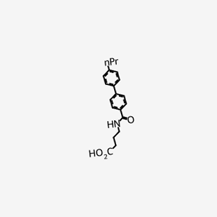 CCCc1ccc(-c2ccc(C(=O)NCCCC(=O)O)cc2)cc1